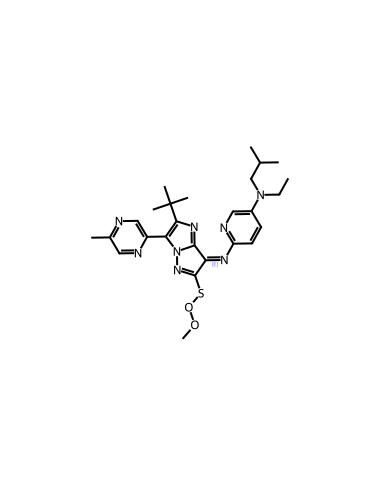 CCN(CC(C)C)c1ccc(/N=C2/C(SOOC)=Nn3c2nc(C(C)(C)C)c3-c2cnc(C)cn2)nc1